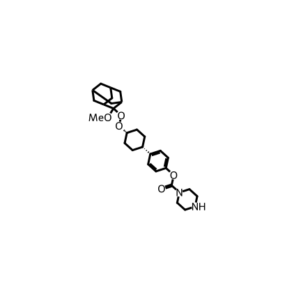 COC1(OO[C@H]2CC[C@@H](c3ccc(OC(=O)N4CCNCC4)cc3)CC2)C2CC3CC(C2)CC1C3